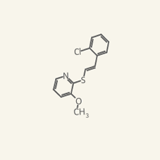 COc1cccnc1S/C=C/c1ccccc1Cl